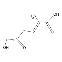 NC(=CC[PH](=O)CO)C(=O)O